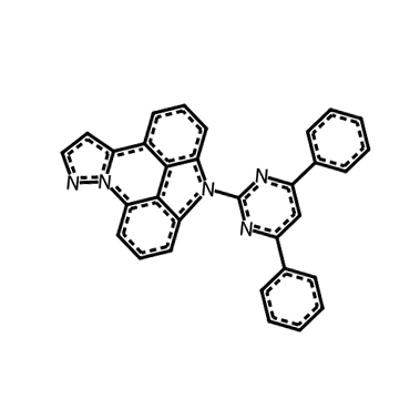 c1ccc(-c2cc(-c3ccccc3)nc(-n3c4cccc5c4c4c3cccc4n3nccc53)n2)cc1